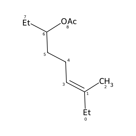 CCC(C)=CCCC(CC)OC(C)=O